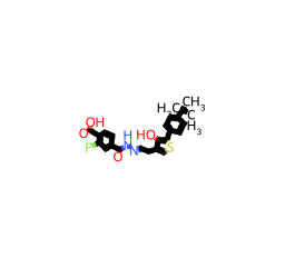 CC(C)(C)c1ccc(-c2scc(CC=NNC(=O)c3ccc(C(=O)O)c(F)c3)c2O)cc1